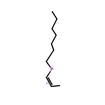 C/C=C\[P]CCCCCCC